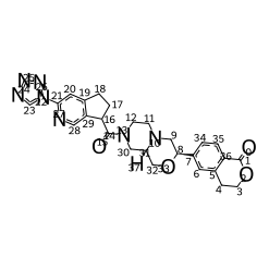 O=C1OCCc2cc([C@@H]3CN4CCN(C(=O)C5CCc6cc(-n7cnnn7)ncc65)C[C@H]4CO3)ccc21